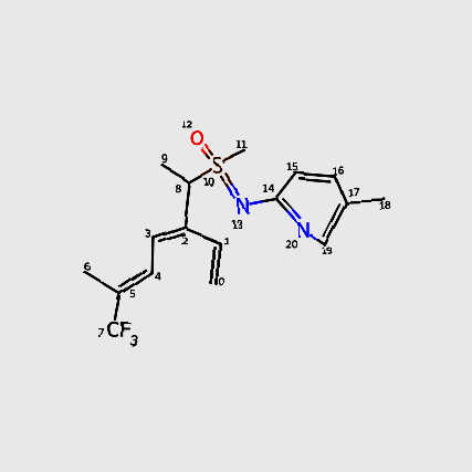 C=C/C(=C\C=C(/C)C(F)(F)F)C(C)S(C)(=O)=Nc1ccc(C)cn1